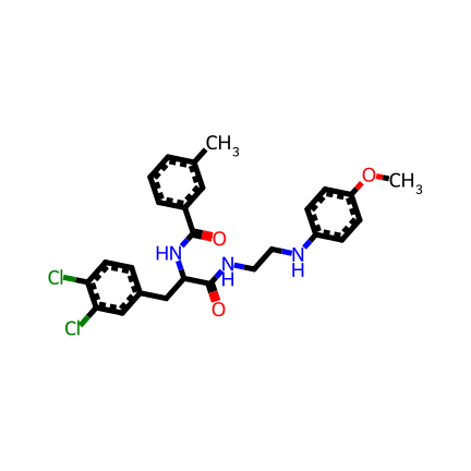 COc1ccc(NCCNC(=O)C(Cc2ccc(Cl)c(Cl)c2)NC(=O)c2cccc(C)c2)cc1